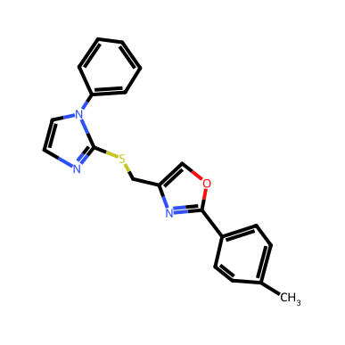 Cc1ccc(-c2nc(CSc3nccn3-c3ccccc3)co2)cc1